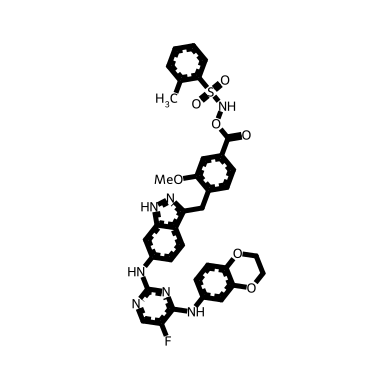 COc1cc(C(=O)ONS(=O)(=O)c2ccccc2C)ccc1Cc1n[nH]c2cc(Nc3ncc(F)c(Nc4ccc5c(c4)OCCO5)n3)ccc12